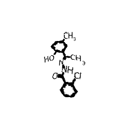 C/C(=N\NC(=O)c1ccccc1Cl)c1cc(C)ccc1O